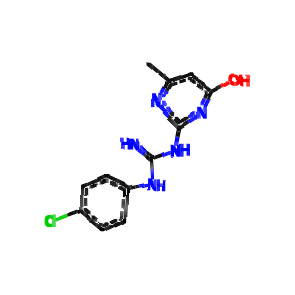 Cc1cc(O)nc(NC(=N)Nc2ccc(Cl)cc2)n1